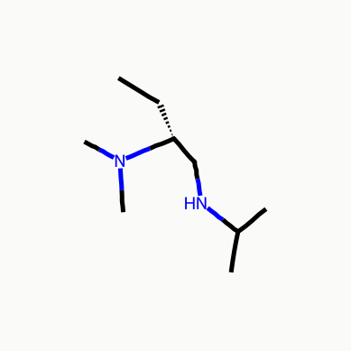 CC[C@H](CNC(C)C)N(C)C